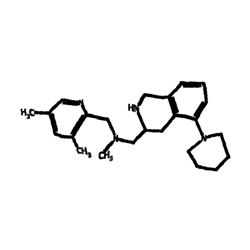 Cc1cnc(CN(C)CC2Cc3c(cccc3N3CCCCC3)CN2)c(C)c1